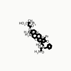 CC(C)C1=C2[C@H]3CC[C@@H]4[C@@]5(C)CC[C@H](OC(=O)CC(C)(C)C(=O)O)C(C)(C)[C@@H]5CC[C@@]4(C)[C@]3(C)CCC2(C(O)CN(Cc2ccccc2)C(=O)C(N)=O)CC1=O